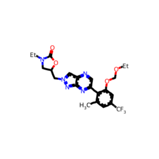 CCOCOc1cc(C(F)(F)F)cc(C)c1-c1cnc2cn(CC3CN(CC)C(=O)O3)nc2n1